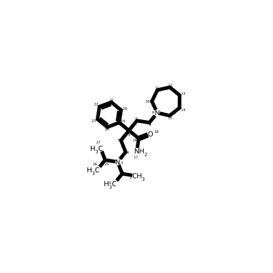 CC(C)N(CCC(CCN1CCCCCC1)(C(N)=O)c1ccccc1)C(C)C